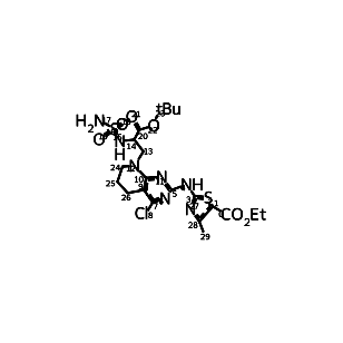 CCOC(=O)c1sc(Nc2nc(Cl)c3c(n2)N(CC(NS(N)(=O)=O)C(=O)OC(C)(C)C)CCC3)nc1C